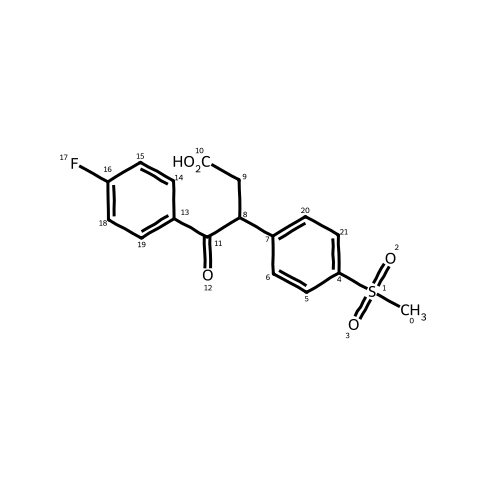 CS(=O)(=O)c1ccc(C(CC(=O)O)C(=O)c2ccc(F)cc2)cc1